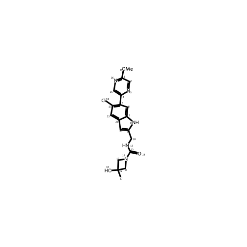 COc1cnc(-c2cc3[nH]c(CNC(=O)N4CC(C)(O)C4)cc3cc2Cl)cn1